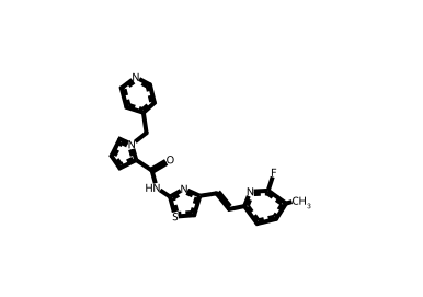 Cc1ccc(C=Cc2csc(NC(=O)c3cccn3Cc3ccncc3)n2)nc1F